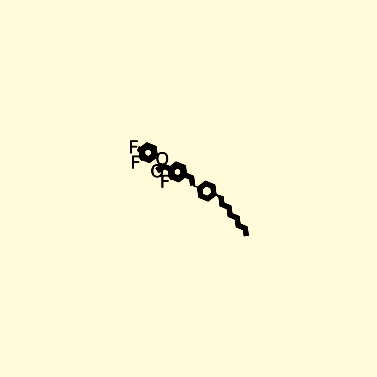 CCCCCCCC[C@H]1CC[C@H](CCc2ccc(C(=O)Oc3ccc(F)c(F)c3)c(F)c2)CC1